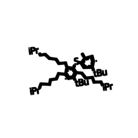 Cc1c[c]c(C(C)(C)C)cc1Sc1c(CCCCCCC(C)C)c(CCCCCC(C)C)[c]c(C(C)(C)C)c1CCCCCC(C)C